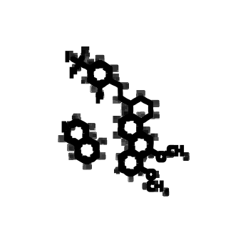 COc1cccc2c1c(OC)cc1c3c(ccc12)C(CCc1ccc(C(F)(F)F)cc1F)CCC3.c1ccc2cnccc2c1